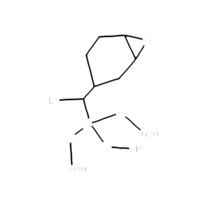 CCCCO[Si](OCCCC)(OCCCC)C(CC)C1CCC2OC2C1